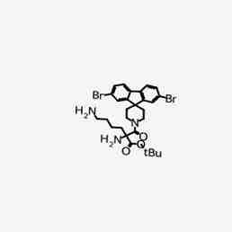 CC(C)(C)OC(=O)C(N)(CCCCN)C(=O)N1CCC2(CC1)c1cc(Br)ccc1-c1ccc(Br)cc12